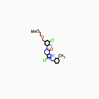 COCCOCc1cc(Cl)c(F)c(N2CCc3c(nn(Cc4cccc(C)c4F)c3Cl)C2=O)c1